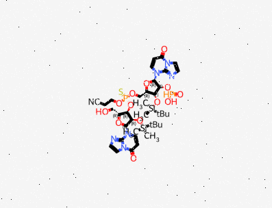 CC(C)(C)[Si](C)(C)O[C@@H]1[C@H](OP(=S)(OCCC#N)OC[C@H]2O[C@@H](n3ccc(=O)n4ccnc34)[C@H](O[PH](=O)O)[C@@H]2O[Si](C)(C)C(C)(C)C)[C@@H](CO)O[C@H]1n1ccc(=O)n2ccnc12